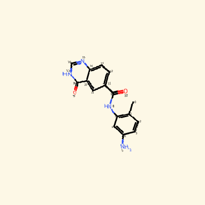 Cc1ccc(N)cc1NC(=O)c1ccc2nc[nH]c(=O)c2c1